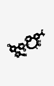 C[C@@H]1CCC[C@H](n2cnc(-c3cc(Cl)ccc3-n3cc(C#N)nn3)cc2=O)c2cc(ccn2)-c2ccc(C(F)F)cc2NC1=O